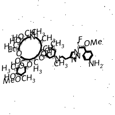 CC[C@H]1OC(=O)[C@H](C)[C@@H](O[C@H]2C[C@@](C)(OC)[C@@H](O)[C@H](C)O2)[C@H](C)[C@@H](O[C@H]2C[C@@H](N(C)CCc3cn([C@H](CF)[C@H](OC)c4ccc(N)cc4)nn3)C[C@@H](C)O2)[C@](C)(O)C[C@@H](C)CN(C)[C@H](C)[C@@H](O)[C@]1(C)O